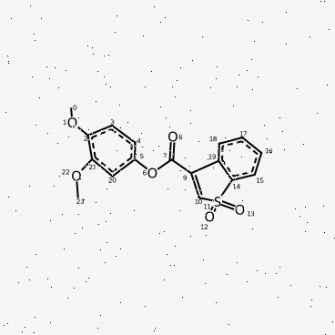 COc1ccc(OC(=O)C2=CS(=O)(=O)c3ccccc32)cc1OC